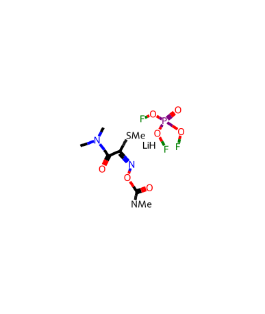 CNC(=O)ON=C(SC)C(=O)N(C)C.O=P(OF)(OF)OF.[LiH]